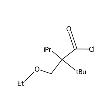 CCOCC(C(=O)Cl)(C(C)C)C(C)(C)C